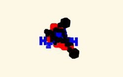 CCCC[C@H](NC(=O)OCc1ccccc1)C(=O)CC(=O)C(N)(N)C(=O)[C@H](CC(C)C)NC(=O)OCc1ccccc1